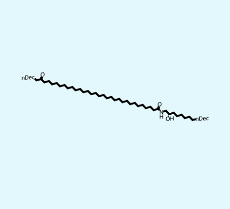 CCCCCCCCCCCCCCCC[C@H](O)CNC(=O)CCCCCCCCCCCCCCCCCCCCCCCCCCCCCC(=O)CCCCCCCCCCC